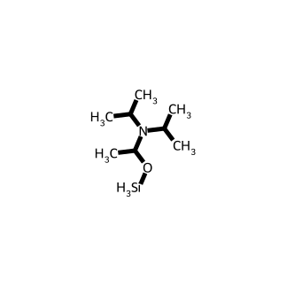 CC(C)N(C(C)C)C(C)O[SiH3]